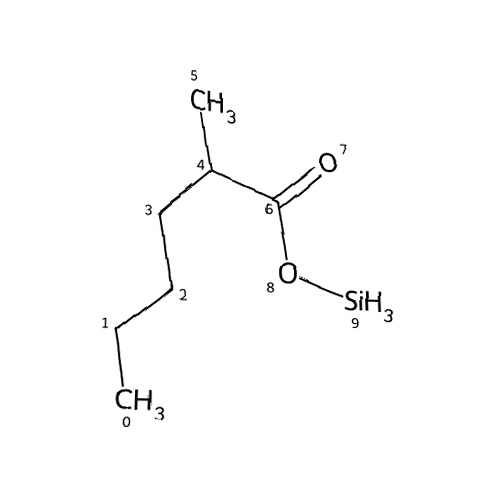 CCCCC(C)C(=O)O[SiH3]